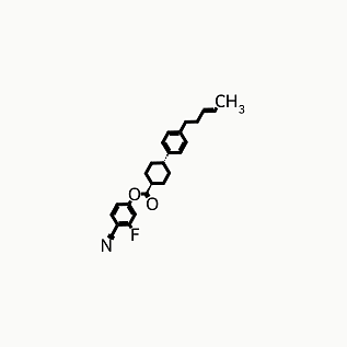 C/C=C/CCc1ccc([C@H]2CC[C@H](C(=O)Oc3ccc(C#N)c(F)c3)CC2)cc1